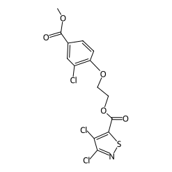 COC(=O)c1ccc(OCCOC(=O)c2snc(Cl)c2Cl)c(Cl)c1